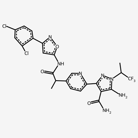 CC(C(=O)Nc1cc(-c2ccc(Cl)cc2Cl)no1)c1ccc(-c2nn(C(C)C(F)(F)F)c(N)c2C(N)=O)nc1